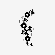 COc1ccc(Nc2[nH]nc(-c3ccc(NC(=O)Nc4ccc(OC(F)(F)F)cc4)cc3)c2C(N)=O)cc1